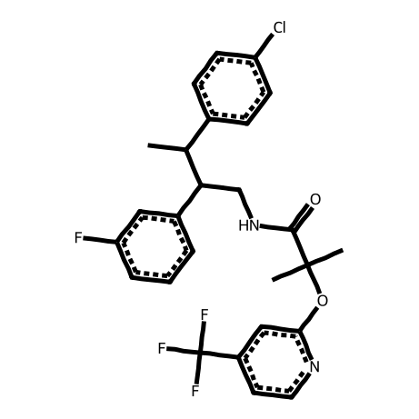 CC(c1ccc(Cl)cc1)C(CNC(=O)C(C)(C)Oc1cc(C(F)(F)F)ccn1)c1cccc(F)c1